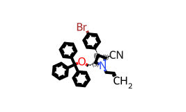 C=CCN1[C@H](COC(c2ccccc2)(c2ccccc2)c2ccccc2)[C@H](c2ccc(Br)cc2)[C@@H]1C#N